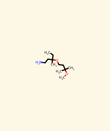 CCC(C)(CCN)OCCC(C)(C)OC